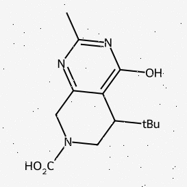 Cc1nc(O)c2c(n1)CN(C(=O)O)CC2C(C)(C)C